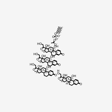 CC(=O)[O-].C[C@@H]1CC2C3CCC4=CC(=O)C=C[C@]4(C)[C@@]3(F)[C@@H](O)C[C@]2(C)[C@@]1(O)C(=O)CO.C[C@@H]1CC2C3CCC4=CC(=O)C=C[C@]4(C)[C@@]3(F)[C@@H](O)C[C@]2(C)[C@@]1(O)C(=O)CO.C[C@@H]1CC2C3CCC4=CC(=O)C=C[C@]4(C)[C@@]3(F)[C@@H](O)C[C@]2(C)[C@@]1(O)C(=O)CO.C[C@@H]1CC2[C@H]3CCC4=CC(=O)C=C[C@]4(C)[C@@]3(F)[C@@H](O)C[C@]2(C)[C@@]1(O)C(=O)CO.O=P([O-])([O-])[O-].[Na+].[Na+].[Na+].[Na+]